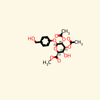 COC(=O)[C@H]1O[C@@H](Oc2ccc(CO)cc2)[C@H](OC(C)=O)[C@@H](OC(C)=O)[C@@H]1O